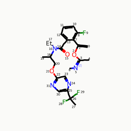 C=C(O/C(C)=N\C)c1c(F)cccc1C(=O)N(CC)C(C)COc1cnc(C(C)(F)F)cn1